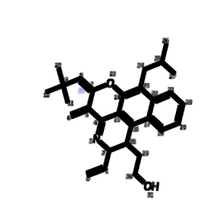 C=CC1N=C2C(=C)/C(=C\C(C)(C)C)Oc3c2c(c2ccccc2c3CC(C)C)C1CCO